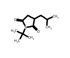 CC(C)CC1CC(=O)N(C(C)(C)C)C1=O